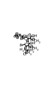 C=[N+](C)C.C=[N+](C)C.CO/N=C(\C(=O)O)C(=O)CBr.CO/N=C(\C(=O)O)C(=O)CBr.O=S(=O)([O-])Cl.[Cl-]